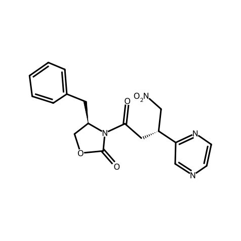 O=C(C[C@H](C[N+](=O)[O-])c1cnccn1)N1C(=O)OC[C@H]1Cc1ccccc1